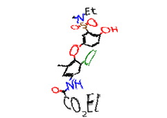 CCOC(=O)C(=O)Nc1cc(C)c(Oc2ccc(O)c(S(=O)(=O)N(C)CC)c2)c(Cl)c1